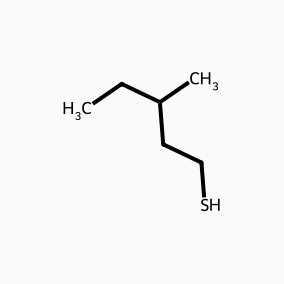 CCC(C)CCS